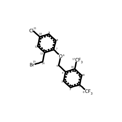 FC(F)(F)c1ccc(COc2ccc(Cl)cc2CBr)c(C(F)(F)F)c1